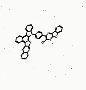 Clc1nc2oc3ccccc3c2nc1-c1ccc(-n2c3ccccc3c3c4ccccc4c4c5cc6ccccc6cc5sc4c32)cc1